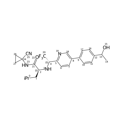 CC(C)C[C@H](N[C@@H](c1ccc(-c2ccc(C(C)O)cc2)cn1)C(F)(F)F)C(=O)NC1(C#N)CC1